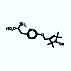 CC1(C)C=C(COc2ccc(C[C@H](N)C(=O)O)cc2)C(C)(C)N1O